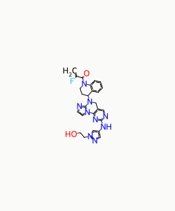 C=C(F)C(=O)N1CCC(N2Cc3cnc(Nc4cnn(CCO)c4)nc3-n3ccnc32)c2ccccc21